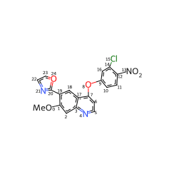 COc1cc2nccc(Oc3ccc([N+](=O)[O-])c(Cl)c3)c2cc1-c1ncco1